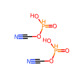 N#CO[PH](=O)O.N#CO[PH](=O)O